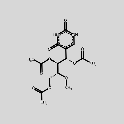 CO[C@H](COC(C)=O)[C@@H](OC(C)=O)[C@@H](OC(C)=O)c1c[nH]c(=O)[nH]c1=O